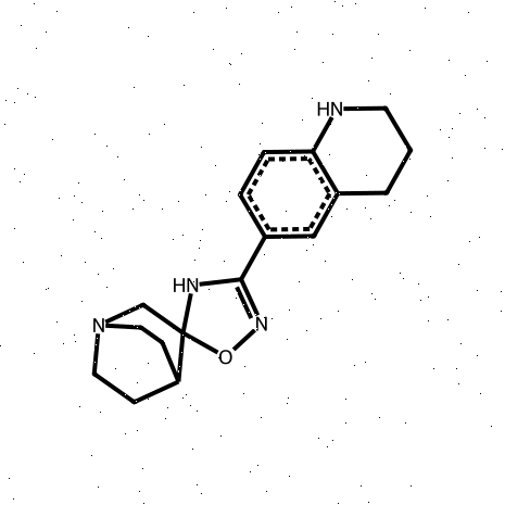 c1cc2c(cc1C1=NOC3(CN4CCC3CC4)N1)CCCN2